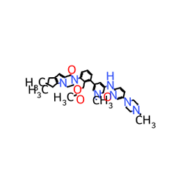 CCN1CCN(c2ccc(Nc3cc(-c4cccc(N5CCn6c(cc7c6CC(C)(C)C7)C5=O)c4COC(C)=O)cn(C)c3=O)nc2)CC1